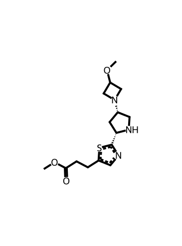 COC(=O)CCc1cnc([C@@H]2C[C@H](N3CC(OC)C3)CN2)s1